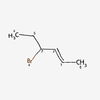 CC=CC(Br)CC